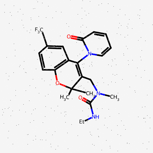 CCNC(=O)N(C)CC1=C(n2ccccc2=O)c2cc(C(F)(F)F)ccc2OC1(C)C